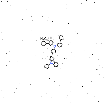 CC1(C)c2ccccc2-c2cc(N(c3ccc(-c4ccc5c(c4)c4ccccc4n5-c4ccccc4)cc3)c3cccc(-c4ccccc4)c3)ccc21